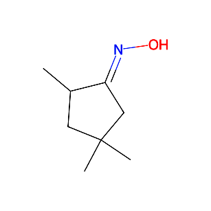 CC1CC(C)(C)CC1=NO